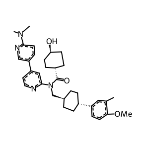 COc1ccc([C@H]2CC[C@H](CN(c3cc(-c4ccc(N(C)C)nc4)ccn3)C(=O)[C@H]3CC[C@H](O)CC3)CC2)cc1C